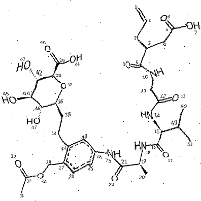 C=CCC(CC(=O)O)C(=O)NCC(=O)N[C@H](C(=O)N[C@@H](C)C(=O)Nc1ccc(COC(C)=O)c(CC[C@@H]2O[C@H](C(=O)O)[C@@H](O)[C@H](O)[C@H]2O)c1)C(C)C